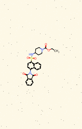 CCOC(=O)N1CCC(NS(=O)(=O)c2ccc(N3C(=O)c4ccccc4C3=O)c3ccccc23)CC1